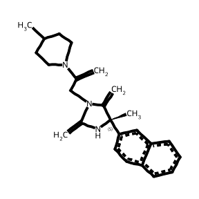 C=C(CN1C(=C)N[C@@](C)(c2ccc3ccccc3c2)C1=C)N1CCC(C)CC1